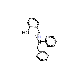 Oc1ccccc1/C=N/N(Cc1ccccc1)c1ccccc1